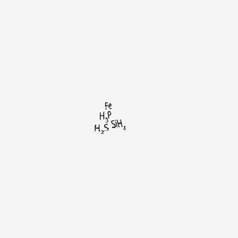 P.S.[Fe].[SiH4]